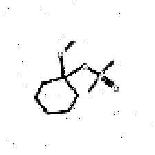 COC1(OP(C)(C)=O)CCCCC1